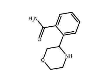 NC(=O)c1ccccc1C1COCCN1